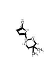 CC1(C)COB(c2ccc(Cl)s2)OC1